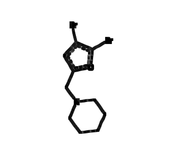 Brc1cc(CN2CCCCC2)oc1Br